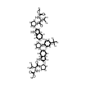 COC(=O)N[C@H](C(=O)N1CCC[C@H]1c1cc2ccc([C@H]3CC[C@H](c4ccc5cc([C@@H]6CCCN6C(=O)[C@@H](NC(=O)OC)C(C)C)[nH]c5c4)N3c3ccc(C(C)(C)C)cc3)cc2[nH]1)C(C)C